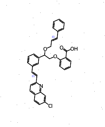 O=C(O)c1ccccc1OCC(OC/C=C/c1ccccc1)c1cccc(/C=C/c2ccc3ccc(Cl)cc3n2)c1